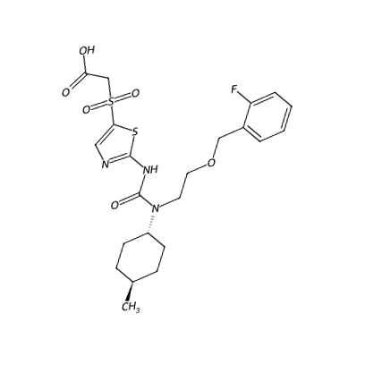 C[C@H]1CC[C@H](N(CCOCc2ccccc2F)C(=O)Nc2ncc(S(=O)(=O)CC(=O)O)s2)CC1